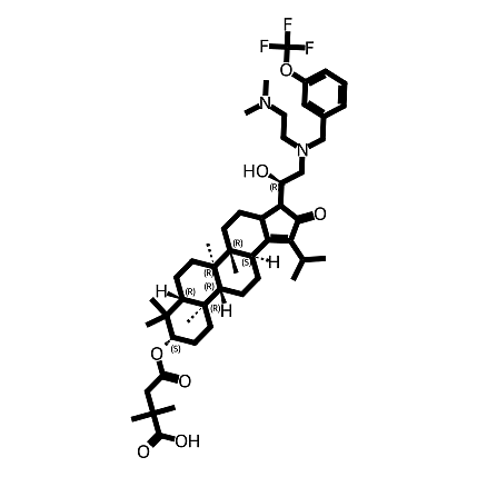 CC(C)C1=C2C(CC[C@]3(C)[C@@H]2CC[C@@H]2[C@@]4(C)CC[C@H](OC(=O)CC(C)(C)C(=O)O)C(C)(C)[C@@H]4CC[C@]23C)C([C@@H](O)CN(CCN(C)C)Cc2cccc(OC(F)(F)F)c2)C1=O